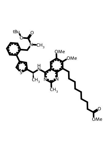 COC(=O)CCCCCCCCc1c(OC)c(OC)cc2c(N[C@@H](C)c3cc(-c4ccccc4CN(C)C(=O)OC(C)(C)C)cs3)nc(C)nc12